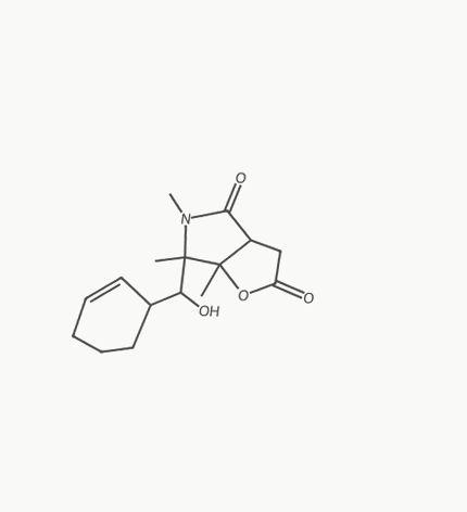 CN1C(=O)C2CC(=O)OC2(C)C1(C)C(O)C1C=CCCC1